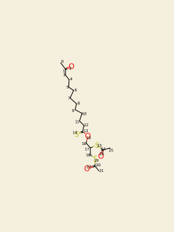 CC(=O)CCCCCCCCCCC(=S)OCC(CSC(C)=O)SC(C)=O